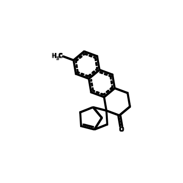 Cc1ccc2cc3c(cc2c1)C1(CC2=CCC1C2)C(=O)CC3